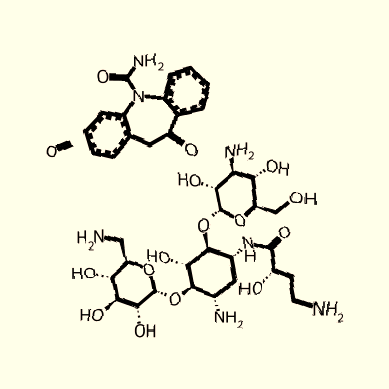 C=O.NC(=O)N1c2ccccc2CC(=O)c2ccccc21.NCC[C@H](O)C(=O)N[C@@H]1C[C@H](N)[C@@H](O[C@H]2O[C@H](CN)[C@@H](O)[C@H](O)[C@H]2O)[C@H](O)[C@H]1O[C@H]1O[C@H](CO)[C@@H](O)[C@H](N)[C@H]1O